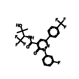 CC(C)(O)[C@@H](NC(=O)c1cc(-c2ccc(C(F)(F)F)cc2)nn(-c2cccc(F)c2)c1=O)C(F)(F)F